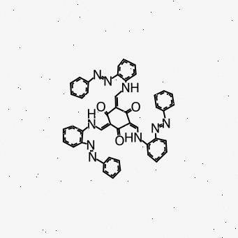 O=C1C(=CNc2ccccc2N=Nc2ccccc2)C(=O)C(=CNc2ccccc2N=Nc2ccccc2)C(=O)C1=CNc1ccccc1N=Nc1ccccc1